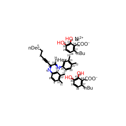 CCCCCCCCCCCCC#CC(=Nc1ccc(C)c(C)c1)C(CCCCCC)=Nc1ccc(C)c(C)c1.CCCCc1ccc(O)c(O)c1C(=O)[O-].CCCCc1ccc(O)c(O)c1C(=O)[O-].[Ni+2]